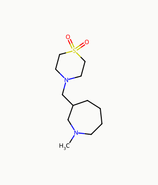 CN1CCCCC(CN2CCS(=O)(=O)CC2)C1